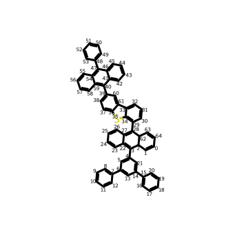 C1=CC2C(c3cc(-c4ccccc4)cc(-c4ccccc4)c3)=c3ccccc3=C(c3cccc4c3sc3ccc(-c5c6ccccc6c(-c6ccccc6)c6ccccc56)cc34)C2C=C1